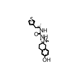 C[C@@H](Cc1ccsc1)NC(=O)NC[C@@]1(N(C)C)CCc2cc(O)ccc2C1